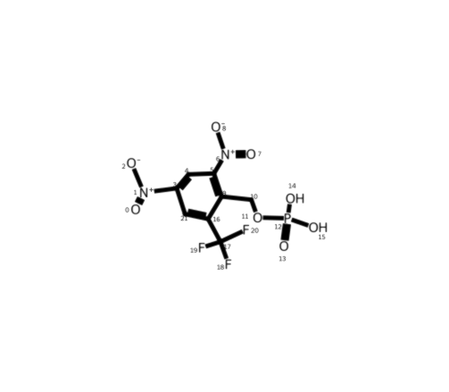 O=[N+]([O-])c1cc([N+](=O)[O-])c(COP(=O)(O)O)c(C(F)(F)F)c1